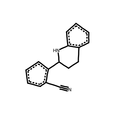 N#Cc1ccccc1C1CCc2ccccc2N1